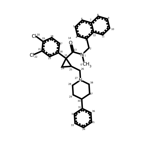 CN(Cc1cccc2ccccc12)C(=O)C1(c2ccc(Cl)c(Cl)c2)CC1CN1CCC(c2ccccc2)CC1